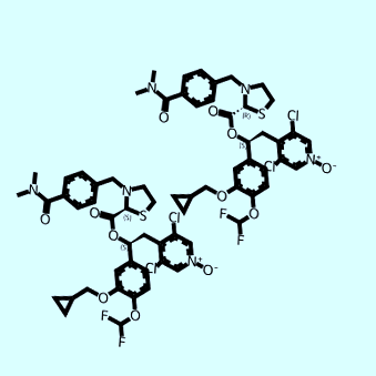 CN(C)C(=O)c1ccc(CN2CCS[C@@H]2C(=O)O[C@@H](Cc2c(Cl)c[n+]([O-])cc2Cl)c2ccc(OC(F)F)c(OCC3CC3)c2)cc1.CN(C)C(=O)c1ccc(CN2CCS[C@H]2C(=O)O[C@@H](Cc2c(Cl)c[n+]([O-])cc2Cl)c2ccc(OC(F)F)c(OCC3CC3)c2)cc1